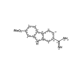 COc1ccc2c(c1)[nH]c1cc(C(=N)N)ccc12